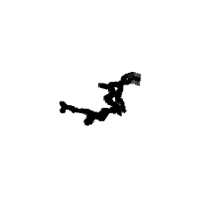 CC(C)=CCCC(C)=CCCC1(C)CCc2c(C)cc(O)cc2O1